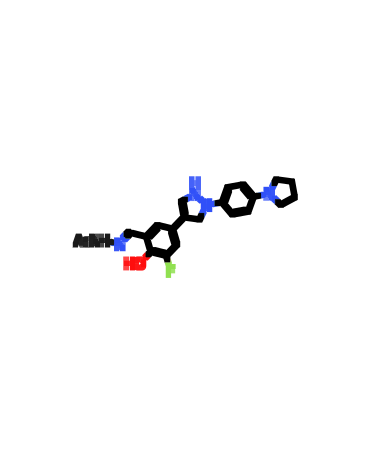 CC(=O)N/N=C/c1cc(C2=CNN(c3ccc(N4CCCC4)cc3)C2)cc(F)c1O